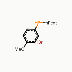 Br.CCCCCPc1ccc(OC)cc1